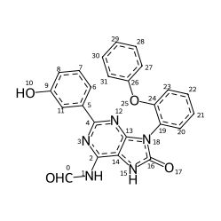 O=CNc1nc(-c2cccc(O)c2)nc2c1[nH]c(=O)n2-c1ccccc1Oc1ccccc1